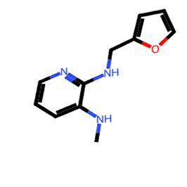 CNc1cccnc1NCc1ccco1